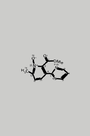 COC(=O)c1c(-c2ncccn2)ccc(C)[n+]1[O-]